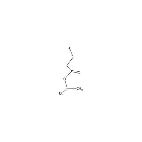 CCC(C)OC(=O)CC[S]